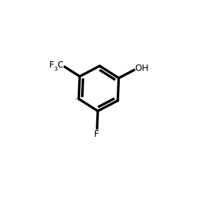 Oc1cc(F)[c]c(C(F)(F)F)c1